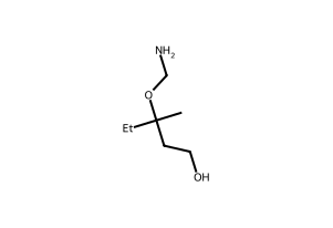 CCC(C)(CCO)OCN